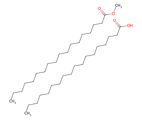 CCCCCCCCCCCCCCCCCC(=O)O.CCCCCCCCCCCCCCCCCC(=O)OC